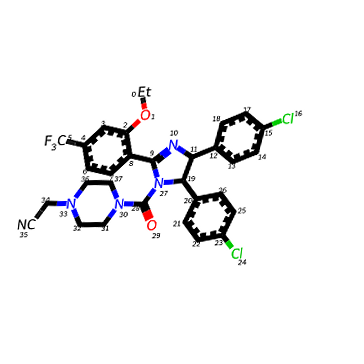 CCOc1cc(C(F)(F)F)ccc1C1=NC(c2ccc(Cl)cc2)C(c2ccc(Cl)cc2)N1C(=O)N1CCN(CC#N)CC1